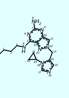 CCCCNc1nc(N)nc2cn(Cc3cncn3C3CC3)nc12